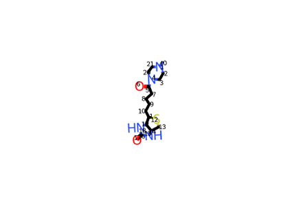 CN1CCN(C(=O)CCCCC2SCC3NC(=O)NC32)CC1